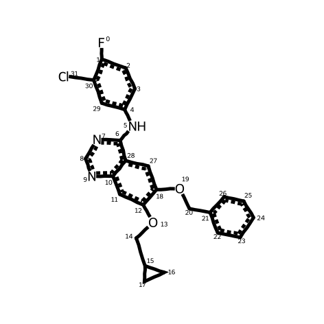 Fc1ccc(Nc2ncnc3cc(OCC4CC4)c(OCc4ccccc4)cc23)cc1Cl